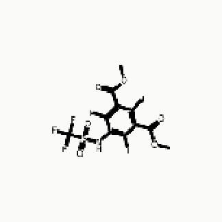 COC(=O)c1c(I)c(NS(=O)(=O)C(F)(F)F)c(I)c(C(=O)OC)c1I